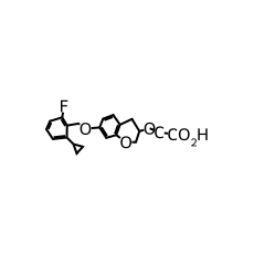 O=C(O)COC1COc2cc(OCc3c(F)cccc3C3CC3)ccc2C1